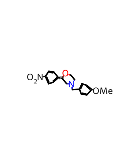 COc1ccc(CN2CCO[C@H](c3ccc([N+](=O)[O-])cc3)C2)cc1